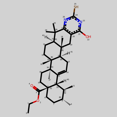 CCOC(=O)[C@]12CC[C@@H](C)[C@H](C)[C@H]1C1=CC[C@@H]3[C@@]4(C)Cc5c(O)nc(S)nc5C(C)(C)[C@@H]4CC[C@@]3(C)[C@]1(C)CC2